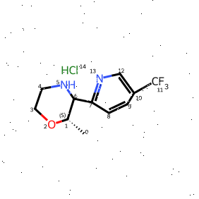 C[C@@H]1OCCNC1c1ccc(C(F)(F)F)cn1.Cl